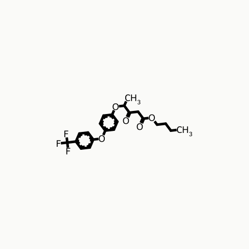 CCCCOC(=O)CC(=O)C(C)Oc1ccc(Oc2ccc(C(F)(F)F)cc2)cc1